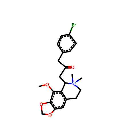 COc1c2c(cc3c1C(CC(=O)Cc1ccc(Br)cc1)[N+](C)(C)CC3)OCO2